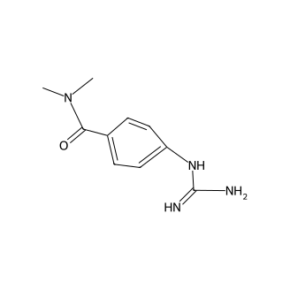 CN(C)C(=O)c1ccc(NC(=N)N)cc1